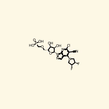 N#Cc1c(Cl)nc2c(cnn2[C@@H]2O[C@H](COCP(=O)(O)O)[C@@H](O)[C@H]2O)c1N1C[C@@H](F)[C@@H](F)C1